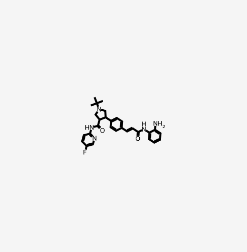 CC(C)(C)N1CC(C(=O)Nc2ccc(F)cn2)C(c2ccc(/C=C/C(=O)Nc3ccccc3N)cc2)C1